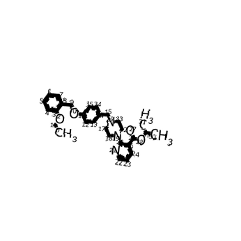 CCOc1ccccc1COc1ccc(CN2CCN(c3ncccc3C(=O)OC(C)C)CC2)cc1